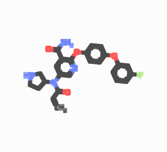 C=CC(=O)N(c1cnc(Oc2ccc(Oc3cccc(F)c3)cc2)c(C(N)=O)c1)C1CCNC1